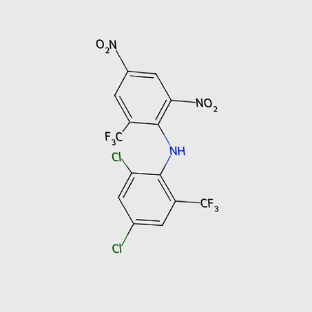 O=[N+]([O-])c1cc([N+](=O)[O-])c(Nc2c(Cl)cc(Cl)cc2C(F)(F)F)c(C(F)(F)F)c1